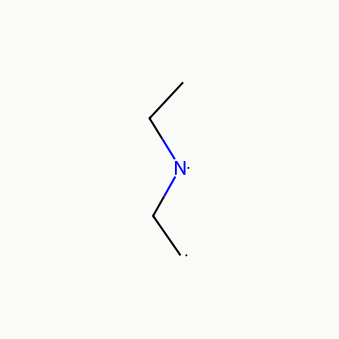 [CH2]C[N]CC